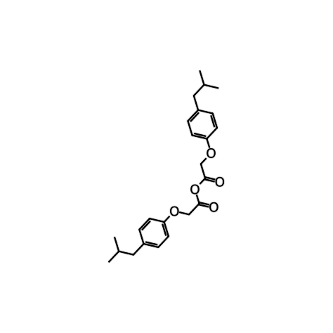 CC(C)Cc1ccc(OCC(=O)OC(=O)COc2ccc(CC(C)C)cc2)cc1